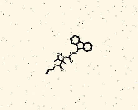 C=CCOC(=O)C(C)(NC(=O)OCC1c2ccccc2-c2ccccc21)C(C)O